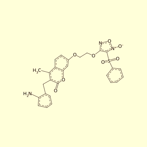 Cc1c(Cc2ccccc2N)c(=O)oc2cc(OCCOc3no[n+]([O-])c3S(=O)(=O)c3ccccc3)ccc12